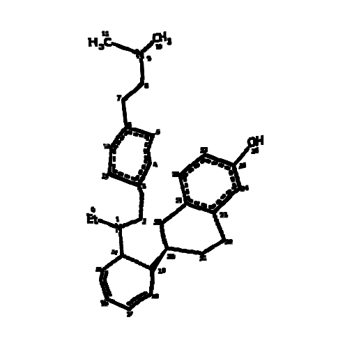 CCN(Cc1ccc(CCN(C)C)cc1)C1C=CC=CC1[C@@H]1CCc2cc(O)ccc2C1